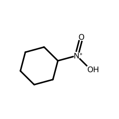 O=[N+](O)C1CCCCC1